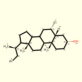 CC[C@H]1CC2C3CCC([C@H](C)CC(C)C)[C@@]3(C)CCC2[C@@]2(C)CC[C@@H](O)C[C@@H]12